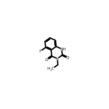 CCn1c(=O)[nH]c2cccc(F)c2c1=O